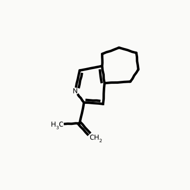 C=C(C)c1cc2c(cn1)CCCCC2